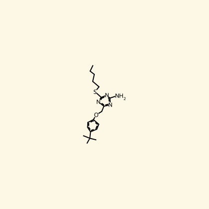 CCCCCSc1nc(N)nc(COc2ccc(C(C)(C)C)cc2)n1